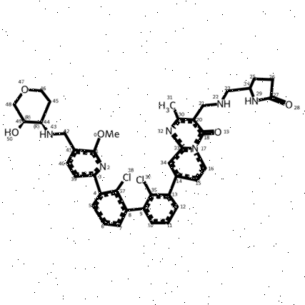 COc1nc(-c2cccc(-c3cccc(-c4ccn5c(=O)c(CNCC6CCC(=O)N6)c(C)nc5c4)c3Cl)c2Cl)ccc1CN[C@@H]1CCOC[C@@H]1O